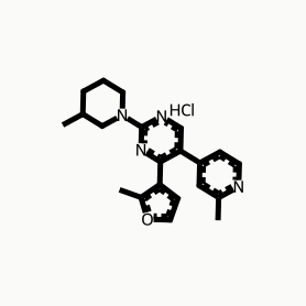 Cc1cc(-c2cnc(N3CCCC(C)C3)nc2-c2ccoc2C)ccn1.Cl